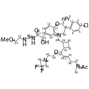 CCCc1cc(Cl)ccc1C1COc2ccc(C(O)C(=O)NSNCCOC)cc2N(CC2CCC2C(/C=C/CCN(C)C(C)=O)OCCN2CC(F)(F)C2)C1